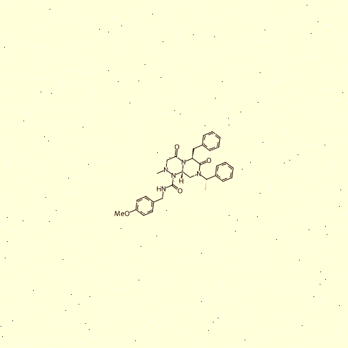 COc1ccc(CNC(=O)N2[C@H]3CN([C@@H](C)c4ccccc4)C(=O)[C@H](Cc4ccccc4)N3C(=O)CN2C)cc1